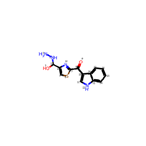 NNC(O)c1csc(C(=O)c2c[nH]c3ccccc23)n1